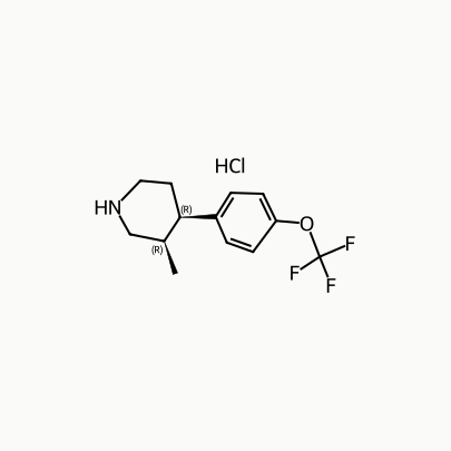 C[C@H]1CNCC[C@H]1c1ccc(OC(F)(F)F)cc1.Cl